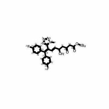 Cn1nnnc1C(/C=C/C(O)CC(=O)CC(=O)OC(C)(C)C)=C(c1ccc(F)cc1)c1ccc(F)cc1